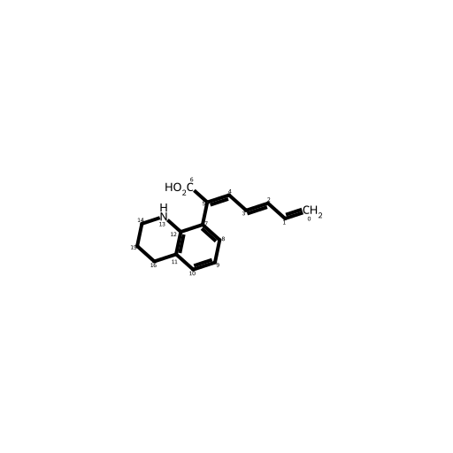 C=C/C=C/C=C(/C(=O)O)c1cccc2c1NCCC2